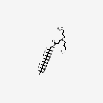 CCCCN(CCCC)CCC(=O)OCC(F)(F)C(F)(F)C(F)(F)C(F)(F)C(F)(F)C(F)(F)C(F)(F)C(F)(F)F